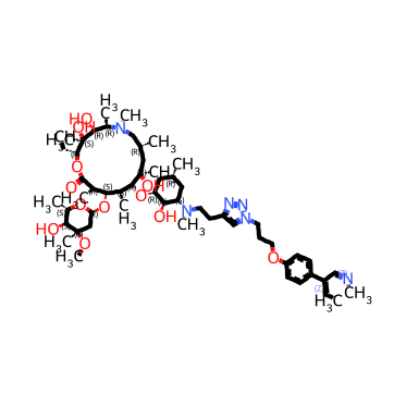 C/C=C(\C=N/C)c1ccc(OCCCn2cc(CCN(C)[C@H]3C[C@@H](C)C[C@@H](O[C@@H]4[C@@H](C)[C@H](O[C@H]5C[C@@](C)(OC)[C@@H](O)[C@H](C)O5)[C@@H](C)C(=O)O[C@H](CC)[C@@](C)(O)[C@H](O)[C@@H](C)N(C)C[C@H](C)C[C@@]4(C)O)[C@@H]3O)nn2)cc1